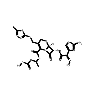 Cc1nnc(SCC2=C(C(=O)OC(C)OC(=O)OC(C)C)N3C(=O)[C@@H](NC(=O)/C(=N\O)c4csc(N)n4)[C@@H]3SC2)s1